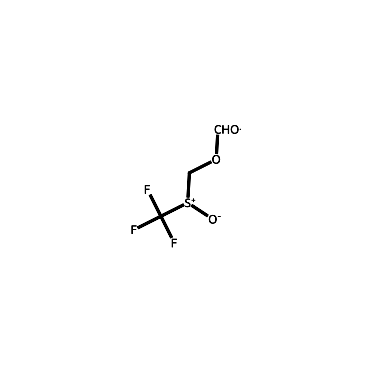 O=[C]OC[S+]([O-])C(F)(F)F